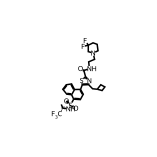 C[C@H](NS(=O)(=O)c1ccc(-c2sc(C(=O)NCCN3CCCC(F)(F)C3)nc2CC2CCC2)c2ccccc12)C(F)(F)F